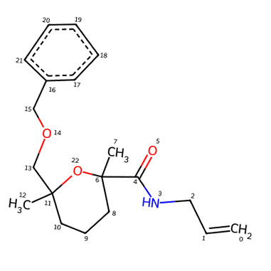 C=CCNC(=O)C1(C)CCCC(C)(COCc2ccccc2)O1